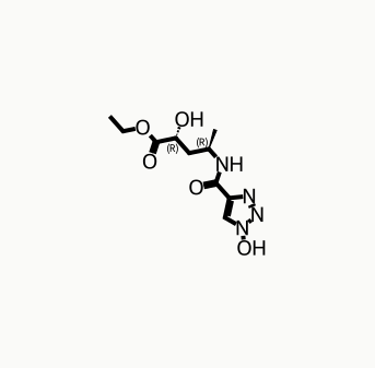 CCOC(=O)[C@H](O)C[C@@H](C)NC(=O)c1cn(O)nn1